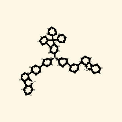 c1ccc(C2(c3ccccc3)c3ccccc3-c3cc(N(c4ccc(-c5ccc(-c6cccc7c6sc6ccccc67)cc5)cc4)c4ccc(-c5cccc(-c6cccc7c6oc6ccccc67)c5)cc4)ccc32)cc1